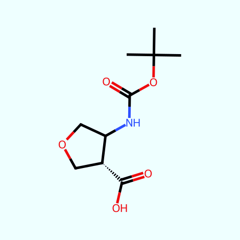 CC(C)(C)OC(=O)NC1COC[C@H]1C(=O)O